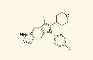 Cc1c(C2CCOCC2)n(-c2ccc(F)cc2)c2cc3cn[nH]c3cc12